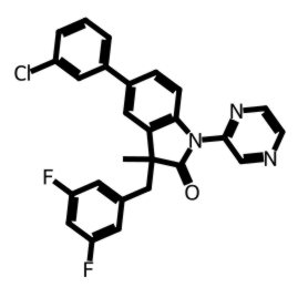 CC1(Cc2cc(F)cc(F)c2)C(=O)N(c2cnccn2)c2ccc(-c3cccc(Cl)c3)cc21